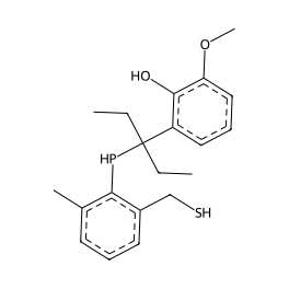 CCC(CC)(Pc1c(C)cccc1CS)c1cccc(OC)c1O